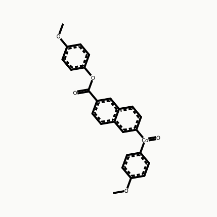 COc1ccc(OC(=O)c2ccc3c[c]([Co](=[O])[c]4ccc(OC)cc4)ccc3c2)cc1